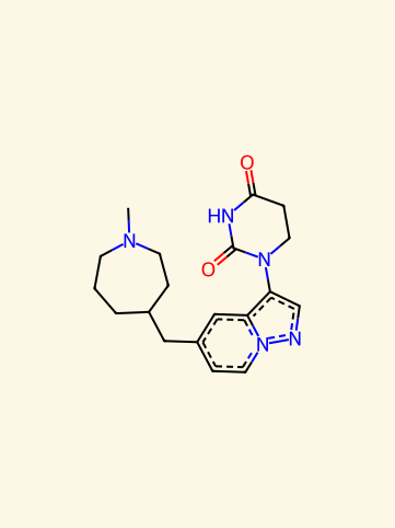 CN1CCCC(Cc2ccn3ncc(N4CCC(=O)NC4=O)c3c2)CC1